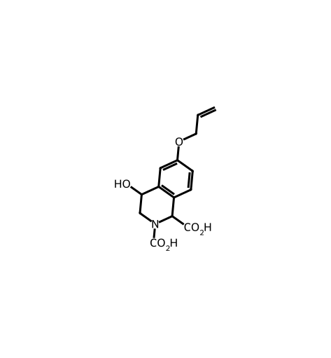 C=CCOc1ccc2c(c1)C(O)CN(C(=O)O)C2C(=O)O